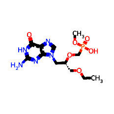 CCOC[C@H](Cn1cnc2c(=O)[nH]c(N)nc21)OCP(=O)(O)OC